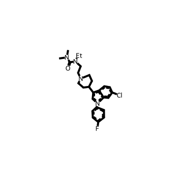 CCN(CCN1CCC(c2cn(-c3ccc(F)cc3)c3cc(Cl)ccc23)CC1)C(=O)N(C)C